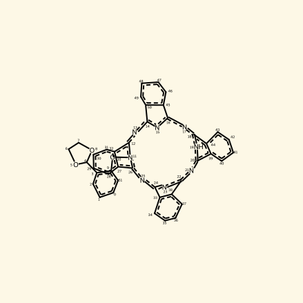 c1ccc(C2OCCO2)c(On2c3nc4nc(nc5[nH]c(nc6nc(nc2c2ccccc23)-c2ccccc2-6)c2ccccc52)-c2ccccc2-4)c1